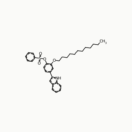 CCCCCCCCCCCCOc1cc(-c2cc3ccccc3[nH]2)ccc1OS(=O)(=O)c1ccccc1